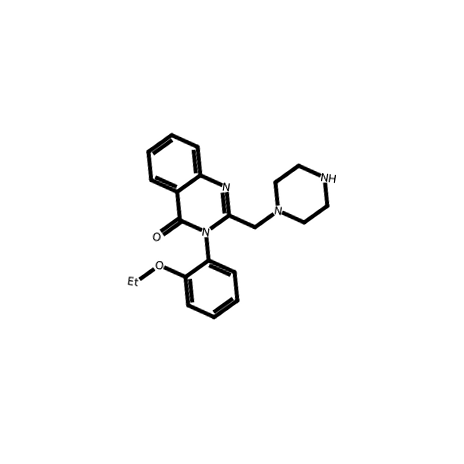 CCOc1ccccc1-n1c(CN2CCNCC2)nc2ccccc2c1=O